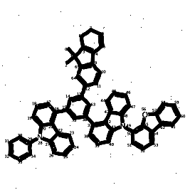 CC1(C)C2=C(C=CCC2)c2ccc(-c3cc(-c4cccc5c4c4ccccc4n5-c4ccccc4)cc(-c4cccc5c4c4ccccc4n5-c4cccc5c4oc4ccccc45)c3)cc21